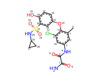 Cc1cc(NC(=O)C(N)=O)cc(Cl)c1Oc1ccc(O)c(S(=O)(=O)NC2CC2)c1